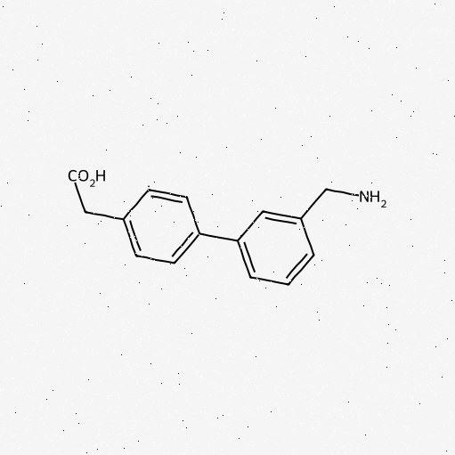 NCc1cccc(-c2c[c]c(CC(=O)O)cc2)c1